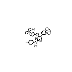 C[C@H]1CC[C@H](Nc2ncc(-c3ccc4c(c3)OCCO4)c(OC3CCN(C(=O)O)C3)n2)CC1